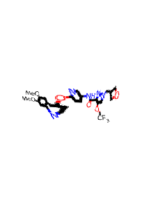 COc1cc2nccc(Oc3ccc(NC(=O)c4nn(CC5COC5)cc4OCC(F)(F)F)cn3)c2cc1OC